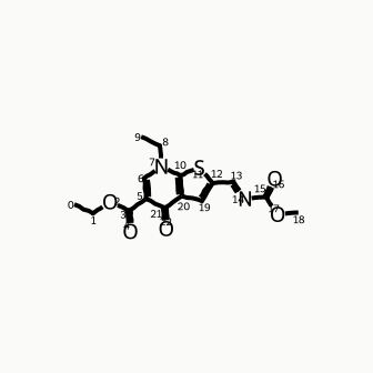 CCOC(=O)c1cn(CC)c2sc(C=NC(=O)OC)cc2c1=O